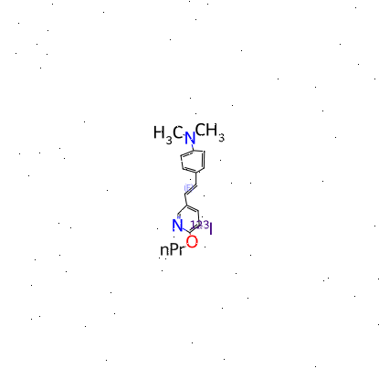 CCCOc1ncc(/C=C/c2ccc(N(C)C)cc2)cc1[123I]